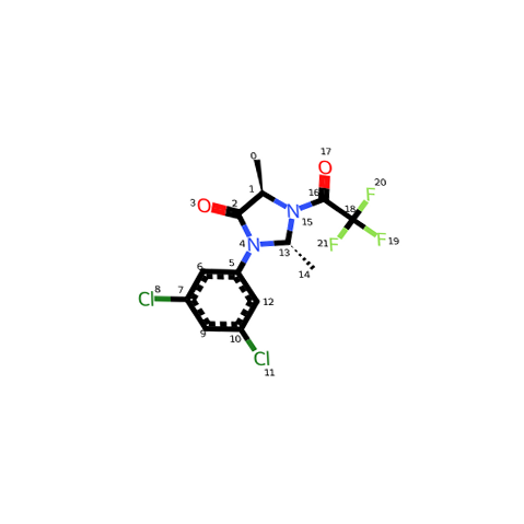 C[C@@H]1C(=O)N(c2cc(Cl)cc(Cl)c2)[C@@H](C)N1C(=O)C(F)(F)F